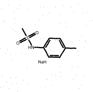 Cc1ccc(NS(C)(=O)=O)cc1.[NaH]